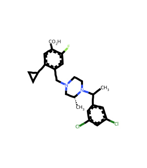 CC(c1cc(Cl)cc(Cl)c1)N1CCN(Cc2cc(F)c(C(=O)O)cc2C2CC2)C[C@H]1C